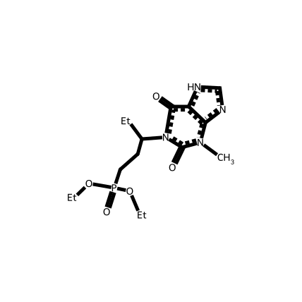 CCOP(=O)(CCC(CC)n1c(=O)c2[nH]cnc2n(C)c1=O)OCC